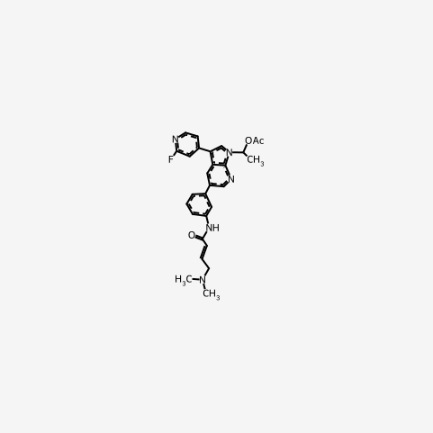 CC(=O)OC(C)n1cc(-c2ccnc(F)c2)c2cc(-c3cccc(NC(=O)C=CCN(C)C)c3)cnc21